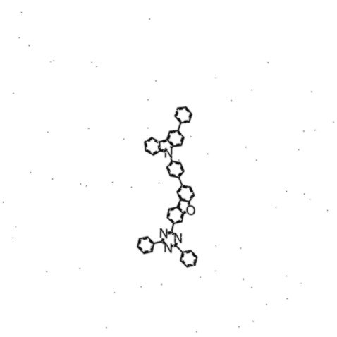 c1ccc(-c2ccc3c(c2)c2ccccc2n3-c2ccc(-c3ccc4oc5cc(-c6nc(-c7ccccc7)nc(-c7ccccc7)n6)ccc5c4c3)cc2)cc1